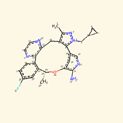 Cc1nn(CC2CC2)c2c1Cc1nccnc1-c1ccc(F)cc1[C@@H](C)Oc1cc-2cnc1N